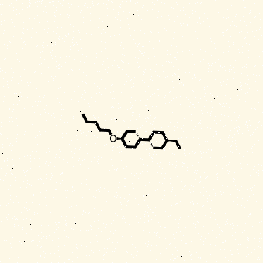 CCCCCO[C@H]1CC[C@H]([C@H]2CC[C@H](CC)CC2)CC1